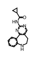 O=C(Nc1ncc2c(n1)-c1ccccc1NCC2)C1CC1